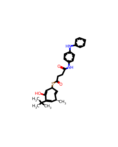 C[C@@H]1/C=C(C(C)(C)C)\C(O)=C/C(SC(=O)CCC(=O)Nc2ccc(Nc3ccccc3)cc2)/C=C/1